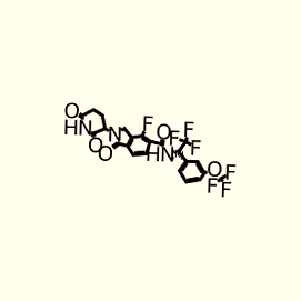 O=C1CCC(N2Cc3c(ccc(C(=O)N[C@H](c4cccc(OC(F)(F)F)c4)C(F)(F)F)c3F)C2=O)C(=O)N1